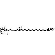 CCCCCCCCCCCCCCCCCCCCCCCCCCCCCCCCCC[P+](C)(C)C.[Cl-]